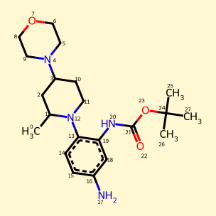 CC1CC(N2CCOCC2)CCN1c1ccc(N)cc1NC(=O)OC(C)(C)C